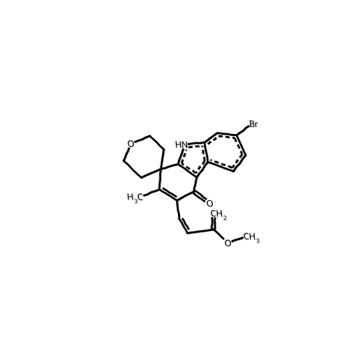 C=C(/C=C\C1=C(C)C2(CCOCC2)c2[nH]c3cc(Br)ccc3c2C1=O)OC